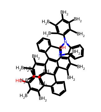 Bc1c(B)c(B)c(-n2c(-c3ccccc3-c3c4c(B)c(B)c(B)c(B)c4c(-c4ccccc4-c4c(B)c(B)c(O)c(B)c4B)c4c(B)c(B)c(B)c(O)c34)nc3ccccc32)c(B)c1B